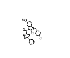 O=C(c1nc(-c2cccnc2)no1)c1c(Cl)n(Cc2ccc(Cl)cc2)c2ccc(O)cc12